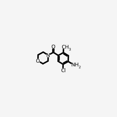 Cc1cc(N)c(Cl)cc1C(=O)N1CCOCC1